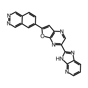 c1cnc2[nH]c(-c3cnc4cc(-c5ccc6cnncc6c5)oc4n3)nc2c1